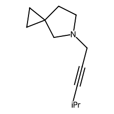 CC(C)C#CCN1CCC2(CC2)C1